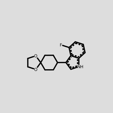 Fc1cccc2[nH]cc(C3CCC4(CC3)OCCO4)c12